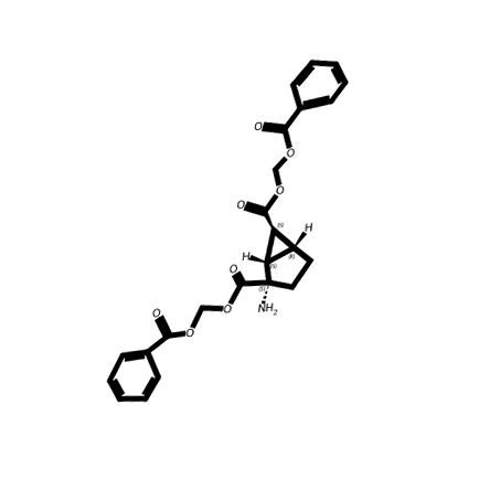 N[C@@]1(C(=O)OCOC(=O)c2ccccc2)CC[C@H]2[C@H](C(=O)OCOC(=O)c3ccccc3)[C@H]21